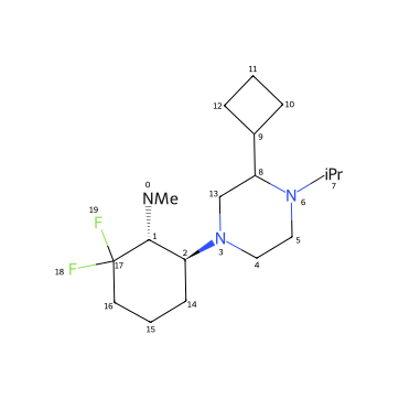 CN[C@@H]1[C@@H](N2CCN(C(C)C)C(C3CCC3)C2)CCCC1(F)F